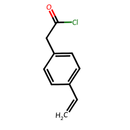 C=Cc1ccc(CC(=O)Cl)cc1